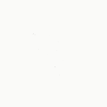 O=Nc1ccc2c(c1)oc1ccccc12